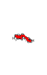 COc1cc2nc(C)nc(NC(C)c3cc(N)cc(C(F)(F)F)c3)c2cc1C1=CCC(C(=O)N2CCC(CCOCC3CCN(C(=O)c4ccc(Cl)c(N5CCC(=O)NC5=O)c4)CC3)CC2)CC1